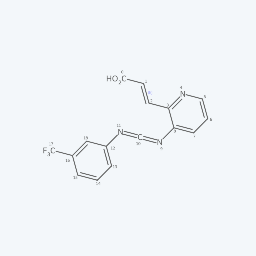 O=C(O)/C=C/c1ncccc1N=C=Nc1cccc(C(F)(F)F)c1